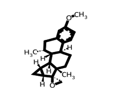 COc1ccc2c(c1)C[C@@H](C)[C@H]1[C@H]3[C@H]4C[C@H]4[C@@]4(CO4)[C@@]3(C)CC[C@H]21